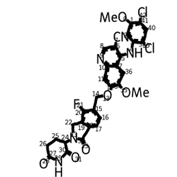 COc1cc(Nc2c(C#N)cnc3cc(OCc4ccc5c(c4F)CN(C4CCC(=O)NC4=O)C5=O)c(OC)cc23)c(Cl)cc1Cl